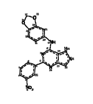 O=[N+]([O-])c1cccc(-c2nc(Nc3ccc4c(c3)OCO4)c3[nH]ncc3n2)c1